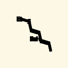 CC=CC=CSCC.[BaH2]